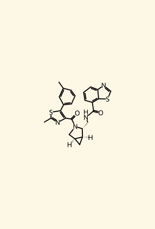 Cc1cccc(-c2sc(C)nc2C(=O)N2C[C@@H]3C[C@@H]3[C@H]2CNC(=O)c2cccc3ncsc23)c1